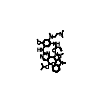 C=CC(=O)Nc1cc(Nc2ncc(C(=O)OC(C)C)c(-c3nn(C)c4c3c3ccccc3n4C)n2)c(OC)cc1N(C)CCN(C)C